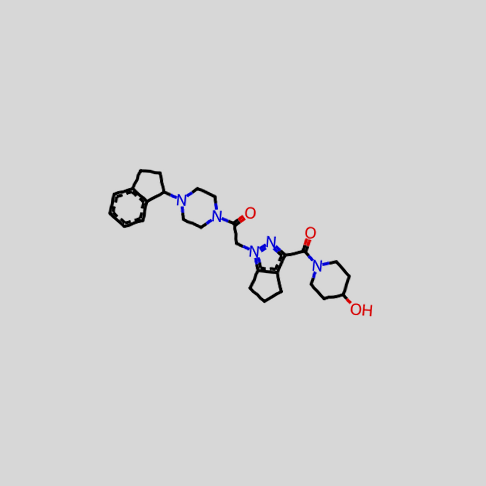 O=C(Cn1nc(C(=O)N2CCC(O)CC2)c2c1CCC2)N1CCN(C2CCc3ccccc32)CC1